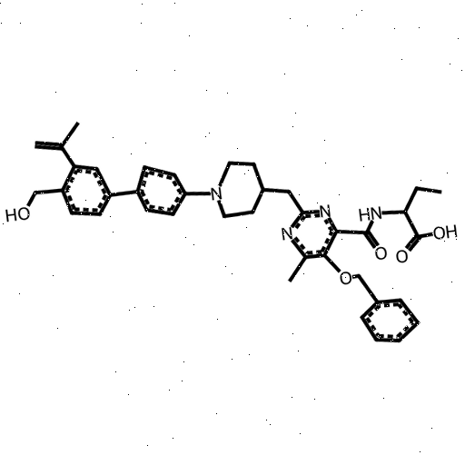 C=C(C)c1cc(-c2ccc(N3CCC(Cc4nc(C)c(OCc5ccccc5)c(C(=O)NC(CC)C(=O)O)n4)CC3)cc2)ccc1CO